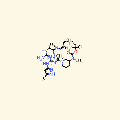 C=C/C(F)=C\N=C(/N)C(C)N/C(N)=N/C(=N\C(=C)N1CCCC(N(C)C(=O)OC(C)(C)C)C1)Nc1cc(C)[nH]n1